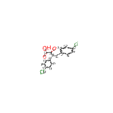 O=C(O)C(=O)C(Cc1ccc(Cl)cc1)c1ccc(Cl)cc1